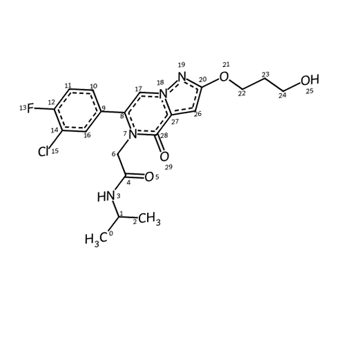 CC(C)NC(=O)Cn1c(-c2ccc(F)c(Cl)c2)cn2nc(OCCCO)cc2c1=O